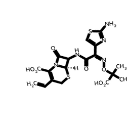 C=CC1=C(C(=O)O)N2C(=O)C(NC(=O)/C(=N\OC(C)(C)C(=O)O)c3csc(N)n3)[C@H]2SC1